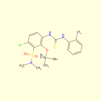 CN(C)S(=O)(=O)c1c(Cl)ccc(NC(=S)Nc2ccccc2C(F)(F)F)c1O[Si](C)(C)C(C)(C)C